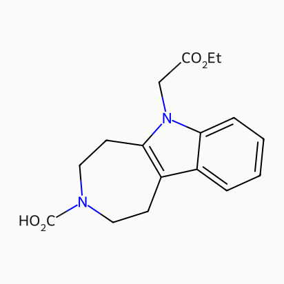 CCOC(=O)Cn1c2c(c3ccccc31)CCN(C(=O)O)CC2